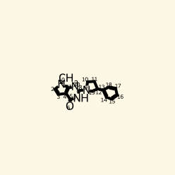 Cn1ccc2c(=O)[nH]c(N3CCC(c4ccccc4)C3)nc21